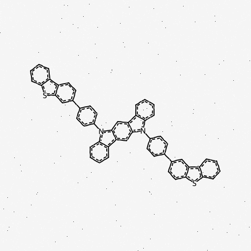 c1ccc2c(c1)sc1cc(-c3ccc(-n4c5ccccc5c5cc6c(cc54)c4ccccc4n6-c4ccc(-c5ccc6sc7ccccc7c6c5)cc4)cc3)ccc12